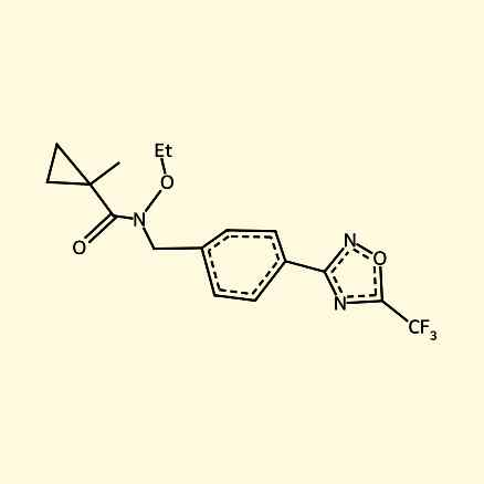 CCON(Cc1ccc(-c2noc(C(F)(F)F)n2)cc1)C(=O)C1(C)CC1